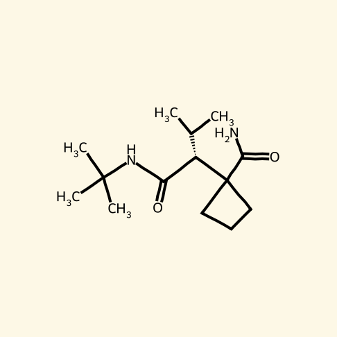 CC(C)[C@@H](C(=O)NC(C)(C)C)C1(C(N)=O)CCC1